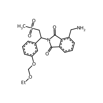 CCOCOc1cccc(C(CS(C)(=O)=O)N2C(=O)c3cccc(CN)c3C2=O)c1